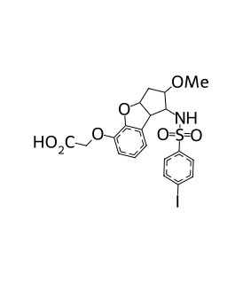 COC1CC2Oc3c(OCC(=O)O)cccc3C2C1NS(=O)(=O)c1ccc(I)cc1